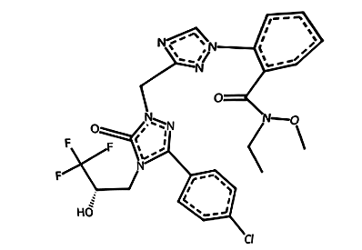 CCN(OC)C(=O)c1ccccc1-n1cnc(Cn2nc(-c3ccc(Cl)cc3)n(C[C@H](O)C(F)(F)F)c2=O)n1